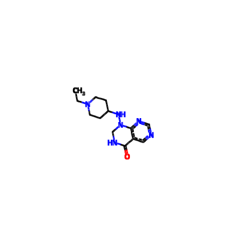 CCN1CCC(NN2CNC(=O)c3cncnc32)CC1